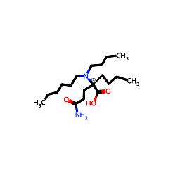 CCCCCCN(CCCC)[C@@](CCCC)(CCC(N)=O)C(=O)O